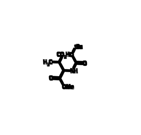 COC(=O)C(NC(=O)OC(C)(C)C)C(C)C(=O)O